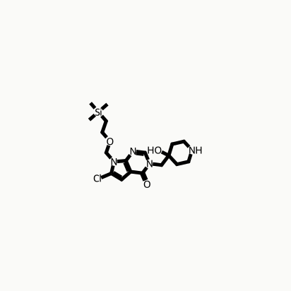 C[Si](C)(C)CCOCn1c(Cl)cc2c(=O)n(CC3(O)CCNCC3)cnc21